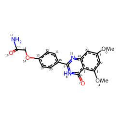 COc1cc(OC)c2c(=O)[nH]c(-c3ccc(OCC(N)=O)cc3)nc2c1